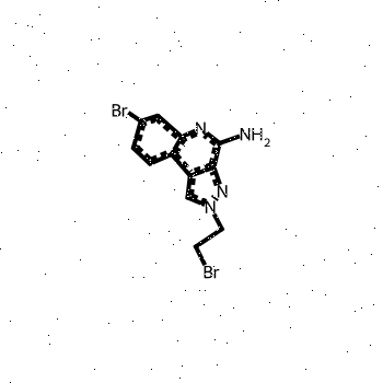 Nc1nc2cc(Br)ccc2c2cn(CCBr)nc12